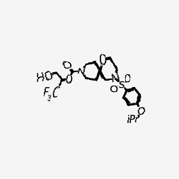 CC(C)Oc1ccc(S(=O)(=O)N2CCOC3(CCN(C(=O)OC(CO)C(F)(F)F)CC3)C2)cc1